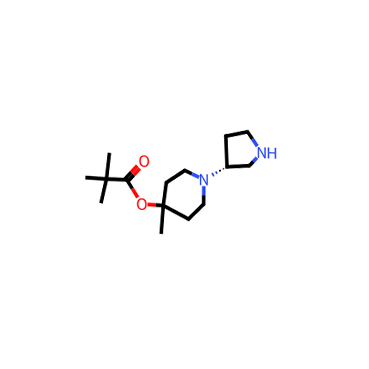 CC1(OC(=O)C(C)(C)C)CCN([C@@H]2CCNC2)CC1